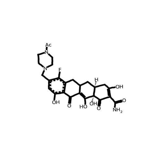 CC(=O)N1CCN(Cc2cc(O)c3c(c2F)CC2C[C@H]4CC(O)=C(C(N)=O)C(=O)[C@@]4(O)C(O)=C2C3=O)CC1